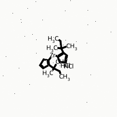 CCC(C)(C)C1=[C]([Zr][C]2=C(C(C)(C)CC)C=CC2)CC=C1.Cl.Cl